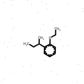 CCOc1ccccc1C(C)CC